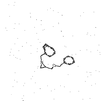 c1ccc(COCC2CN2Cc2ccccc2)cc1